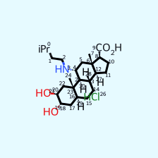 CC(C)CCN[C@@H]1C[C@]2(C)[C@@H](C(=O)O)CC[C@H]2[C@@H]2CC[C@H]3C[C@H](O)[C@@H](O)C[C@]3(C)[C@H]21.Cl